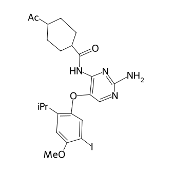 COc1cc(C(C)C)c(Oc2cnc(N)nc2NC(=O)C2CCC(C(C)=O)CC2)cc1I